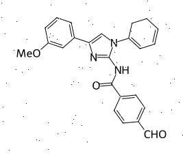 COc1cccc(-c2cn(C3=CC=CCC3)c(NC(=O)c3ccc(C=O)cc3)n2)c1